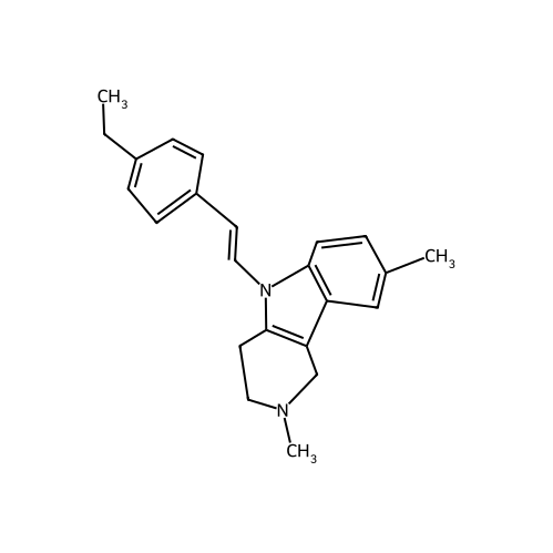 CCc1ccc(C=Cn2c3c(c4cc(C)ccc42)CN(C)CC3)cc1